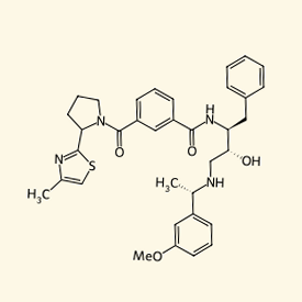 COc1cccc([C@H](C)NC[C@@H](O)[C@H](Cc2ccccc2)NC(=O)c2cccc(C(=O)N3CCCC3c3nc(C)cs3)c2)c1